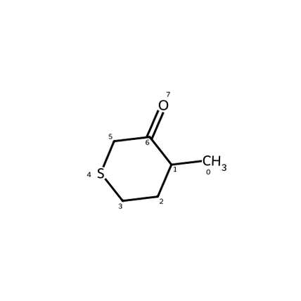 CC1CCSCC1=O